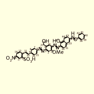 COc1cc(N=Nc2ccc(C=Cc3ccc([N+](=O)[O-])cc3S(=O)(=O)O)cc2)c(CO)cc1N=Nc1ccc2cc(NOc3ccccc3)ccc2c1O